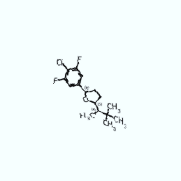 C[C@@H]([C@@H]1CC[C@H](c2cc(F)c(Cl)c(F)c2)O1)C(C)(C)C